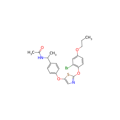 CCCOc1ccc(Oc2ncc(Oc3ccc(C(C)NC(C)=O)cc3)s2)c(Br)c1